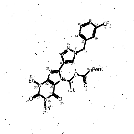 CCCCCC(=O)OC(CC)n1c(-c2cnn(Cc3cccc(C(F)(F)F)c3)c2)nc2c1c(=O)n(CCC)c(=O)n2CC